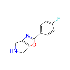 Fc1ccc(-c2nc3c(o2)CNC3)cc1